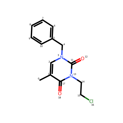 Cc1cn(Cc2ccccc2)c(=O)n(CCCl)c1=O